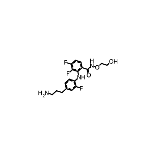 NCCCc1ccc(Nc2c(C(=O)NOCCO)ccc(F)c2F)c(F)c1